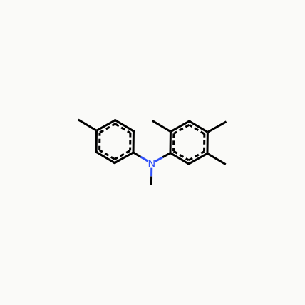 Cc1ccc(N(C)c2cc(C)c(C)cc2C)cc1